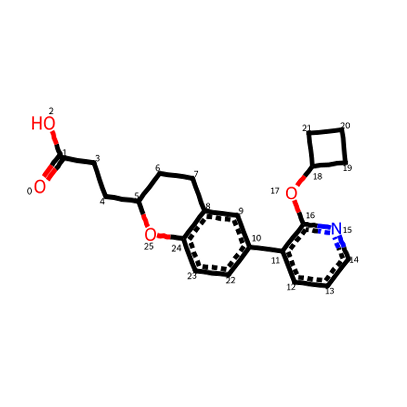 O=C(O)CCC1CCc2cc(-c3cccnc3OC3CCC3)ccc2O1